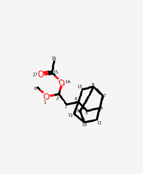 COC(CC12CC3CC(CC(C3)C1)C2)OC(C)=O